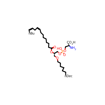 CCCC/C=C\C/C=C\CCCCCCCC(=O)O[C@H](COCCCCCCCCCCCCCCCC)COP(=O)(O)OC[C@H](N)C(=O)O